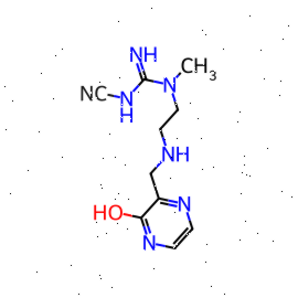 CN(CCNCc1nccnc1O)C(=N)NC#N